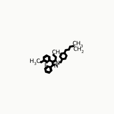 C=C(C)CCCC1CCC(Cn2nc(-c3ccccc3)c(-c3cccc(CC)c3F)c2CCC)CC1